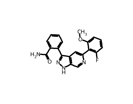 COc1cccc(F)c1-c1cc2c(-c3ccccc3C(N)=O)n[nH]c2cn1